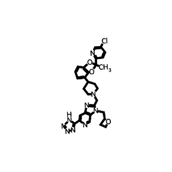 CC1(c2ccc(Cl)cn2)Oc2cccc(C3CCN(Cc4nc5cc(-c6nnn[nH]6)ncc5n4CC4CCO4)CC3)c2O1